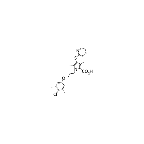 Cc1cc(OCCCn2c(C)c(Sc3ccccn3)c(C)c2C(=O)O)cc(C)c1Cl